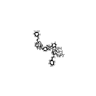 CCCC(NC(=O)Nc1cccc(-c2nc3cc(NC(=O)[C@@H]4CCCN4C(=O)CCc4ccccc4)ccc3[nH]2)c1)C(=O)CCc1ccccc1